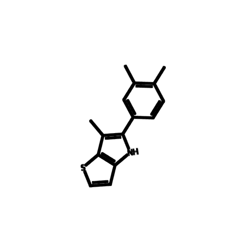 Cc1ccc(-c2[nH]c3ccsc3c2C)cc1C